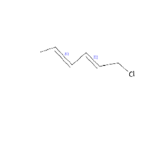 C/C=C/C=C/CCl